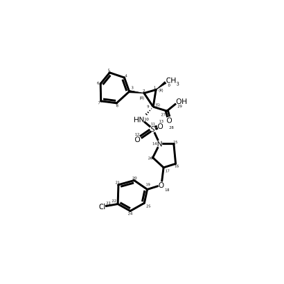 C[C@@H]1[C@H](c2ccccc2)[C@]1(NS(=O)(=O)N1CCC(Oc2ccc(Cl)cc2)C1)C(=O)O